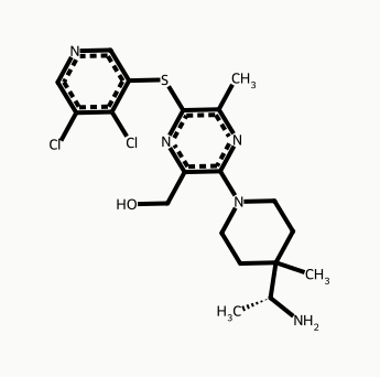 Cc1nc(N2CCC(C)([C@@H](C)N)CC2)c(CO)nc1Sc1cncc(Cl)c1Cl